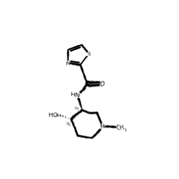 CN1CC[C@H](O)[C@@H](NC(=O)c2nccs2)C1